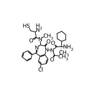 CC(=O)N(C(=O)[C@](C)(N)C1CCCCC1)N1C(=O)C(N(C)C(=O)C(N)CS)N=C(c2ccccc2)c2cc(Cl)ccc21